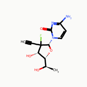 C#CC1(F)[C@@H](O)[C@@H]([C@@H](C)O)O[C@H]1n1ccc(N)nc1=O